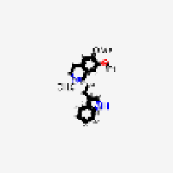 CCOc1cc2c(cc1OC)CCN(C=O)[C@H]2CCc1c[nH]c2ccccc12